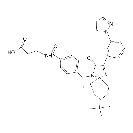 C[C@H](c1ccc(C(=O)NCCC(=O)O)cc1)N1C(=O)C(c2cccc(-n3cccn3)c2)=NC12CCC(C(C)(C)C)CC2